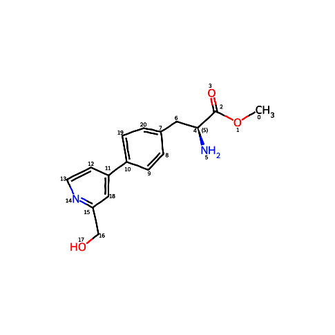 COC(=O)[C@@H](N)Cc1ccc(-c2ccnc(CO)c2)cc1